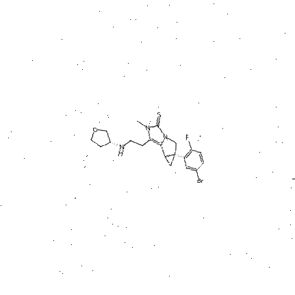 Cn1c(CCN[C@@H]2CCOC2)c2n(c1=S)C[C@@]1(c3cc(Br)ccc3F)CC21